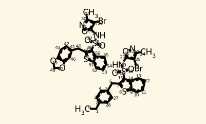 CCc1ccc(Cc2sc3ccccc3c2S(=O)(=O)Nc2onc(C)c2Br)cc1.Cc1noc(NS(=O)(=O)c2c(Cc3ccc4c(c3)OCO4)sc3ccccc23)c1Br